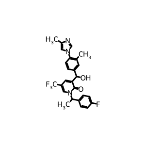 Cc1cn(-c2ccc(C(O)c3cc(C(F)(F)F)cn(C(C)c4ccc(F)cc4)c3=O)cc2C)cn1